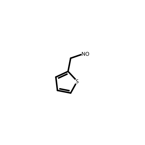 O=NCc1cccs1